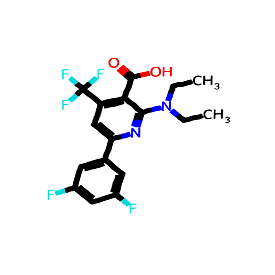 CCN(CC)c1nc(-c2cc(F)cc(F)c2)cc(C(F)(F)F)c1C(=O)O